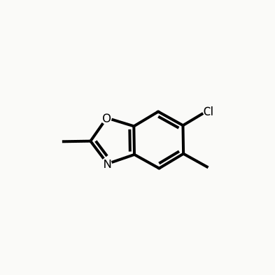 Cc1nc2cc(C)c(Cl)cc2o1